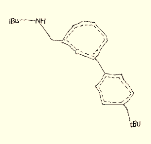 CCC(C)NCc1cccc(-c2ccc(C(C)(C)C)cc2)c1